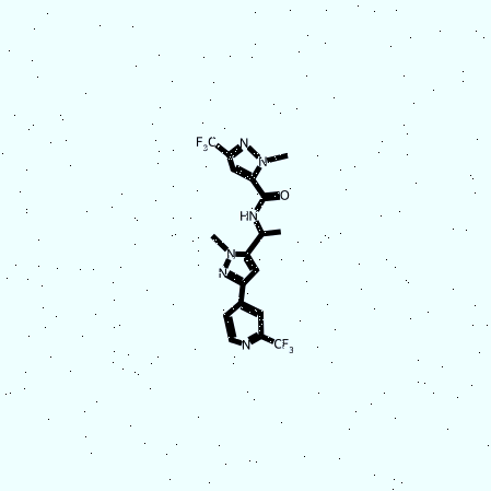 CC(NC(=O)c1cc(C(F)(F)F)nn1C)c1cc(-c2ccnc(C(F)(F)F)c2)nn1C